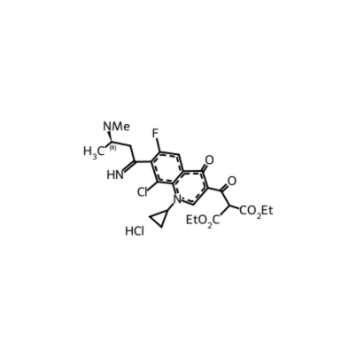 CCOC(=O)C(C(=O)OCC)C(=O)c1cn(C2CC2)c2c(Cl)c(C(=N)C[C@@H](C)NC)c(F)cc2c1=O.Cl